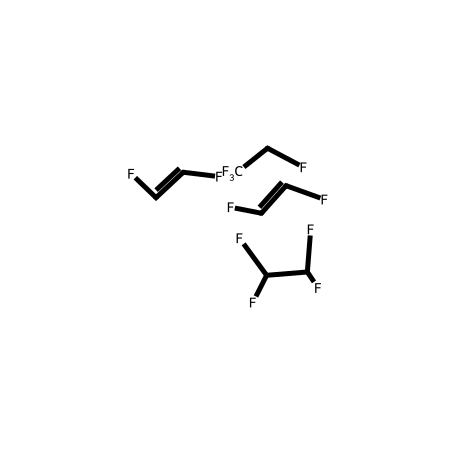 FC(F)C(F)F.FC=CF.FC=CF.FCC(F)(F)F